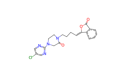 O=C1OC(=CCCCN2CCN(c3ncc(Cl)cn3)CC2=O)c2ccccc21